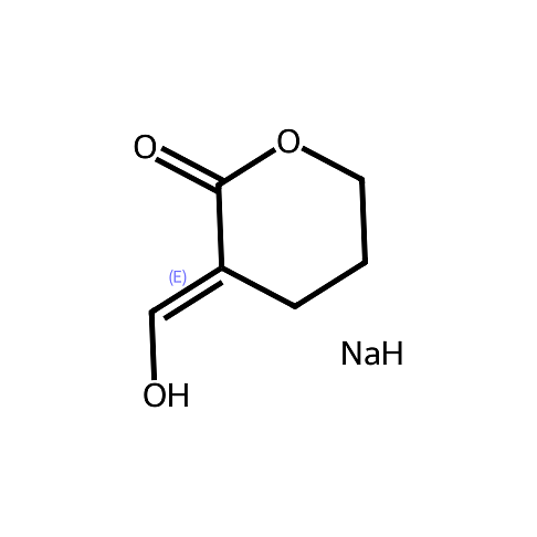 O=C1OCCC/C1=C\O.[NaH]